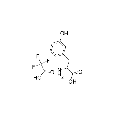 NC(Cc1cccc(O)c1)C(=O)O.O=C(O)C(F)(F)F